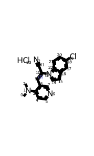 CN(C)c1ccncc1/C=C(/C#N)n1ccc2cc(Cl)ccc21.Cl